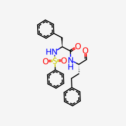 O=C[C@H](CCc1ccccc1)NC(=O)[C@H](Cc1ccccc1)NS(=O)(=O)c1ccccc1